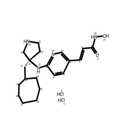 Cl.Cl.O=C(/C=C/c1ccc(N[C@]2(CC3CCCCCC3)CCNC2)nc1)NO